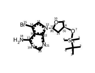 CC(C)(C)[Si](C)(C)O[C@@H]1[CH]O[C@@H](n2cc(Br)c3c(N)ncnc32)C1